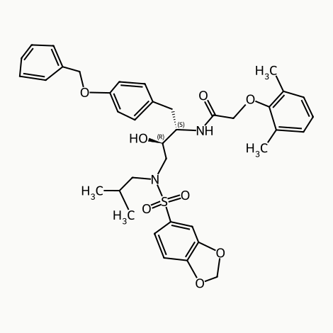 Cc1cccc(C)c1OCC(=O)N[C@@H](Cc1ccc(OCc2ccccc2)cc1)[C@H](O)CN(CC(C)C)S(=O)(=O)c1ccc2c(c1)OCO2